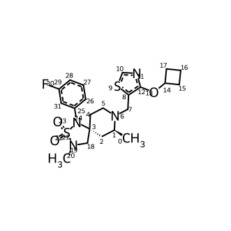 C[C@H]1C[C@]2(CCN1Cc1scnc1OC1CCC1)CN(C)S(=O)(=O)N2c1cccc(F)c1